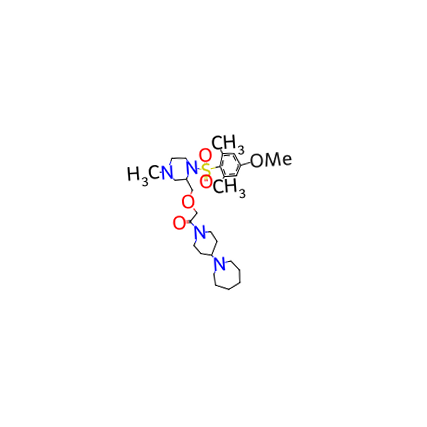 COc1cc(C)c(S(=O)(=O)N2CCN(C)CC2COCC(=O)N2CCC(N3CCCCCC3)CC2)c(C)c1